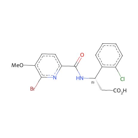 COc1ccc(C(=O)N[C@@H](CC(=O)O)c2ccccc2Cl)nc1Br